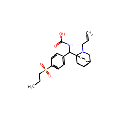 C=CCN1CC2CCC1(C(NC(=O)O)c1ccc(S(=O)(=O)CCC)cc1)CC2